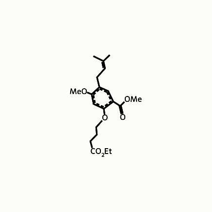 CCOC(=O)CCCOc1cc(OC)c(CC=C(C)C)cc1C(=O)OC